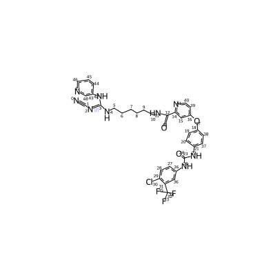 N#C/N=C(/NCCCCCCNC(=O)c1cc(Oc2ccc(NC(=O)Nc3ccc(Cl)c(C(F)(F)F)c3)cc2)ccn1)Nc1cccnc1